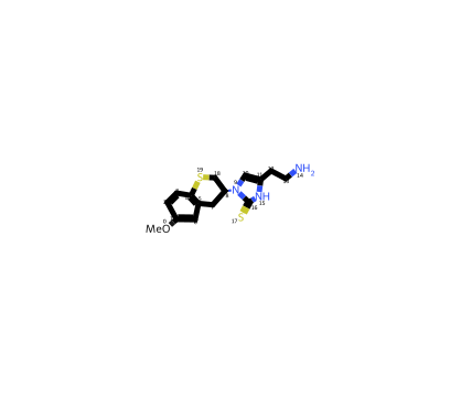 COc1ccc2c(c1)C[C@@H](n1cc(CCN)[nH]c1=S)CS2